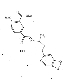 COC(=O)c1cc(C(=O)CNC(C)CCc2ccc3c(c2)OCO3)ccc1OC.Cl